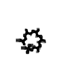 CC(O)COC(C)COC(C)COC(C)COC(C)COP(=O)(O)O